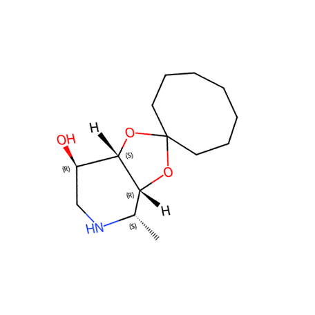 C[C@@H]1NC[C@@H](O)[C@@H]2OC3(CCCCCCC3)O[C@@H]21